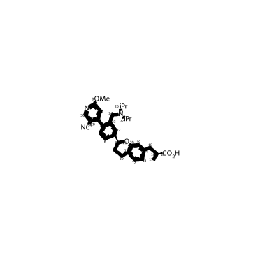 COc1cc(-c2ccc([C@@H]3CCc4ccc(C[C@H](C)C(=O)O)cc4O3)cc2CN(C(C)C)C(C)C)c(C#N)cn1